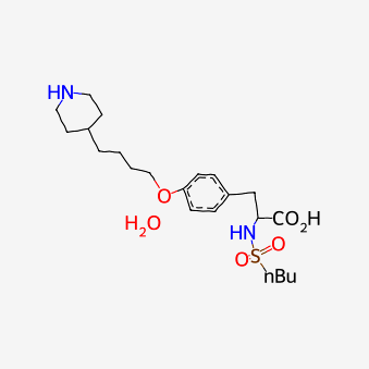 CCCCS(=O)(=O)NC(Cc1ccc(OCCCCC2CCNCC2)cc1)C(=O)O.O